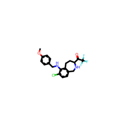 COc1ccc(CNc2c(Cl)ccc3c2CCC(C(=O)C(F)(F)F)NC3)cc1